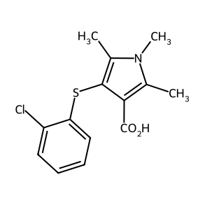 Cc1c(Sc2ccccc2Cl)c(C(=O)O)c(C)n1C